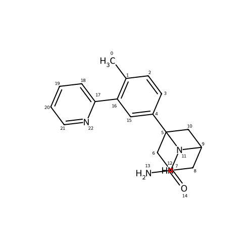 Cc1ccc(C23CNCC(C2)N3C(N)=O)cc1-c1ccccn1